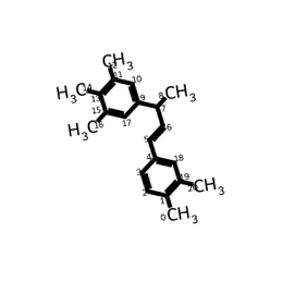 Cc1ccc(/C=C/C(C)c2cc(C)c(C)c(C)c2)cc1C